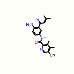 CC(C)=CC(=N)c1cc(NC(=O)c2ncc(C#N)c(C)c2C)ccc1N